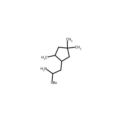 CCCCC(N)CC1CC(C)(C)CC1C